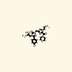 O=C(c1nc(Cn2nc(-c3ccc(Cl)cc3)n(CC(O)C(F)(F)F)c2=O)nn1CCC(F)(F)F)N1CCOCC1